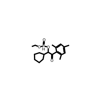 CCO[PH](=O)OC(C(=O)c1c(C)cc(C)cc1C)C1CCCCC1